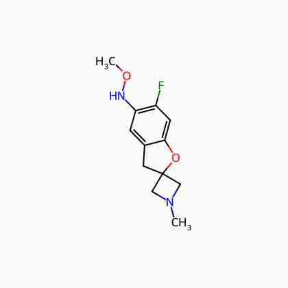 CONc1cc2c(cc1F)OC1(C2)CN(C)C1